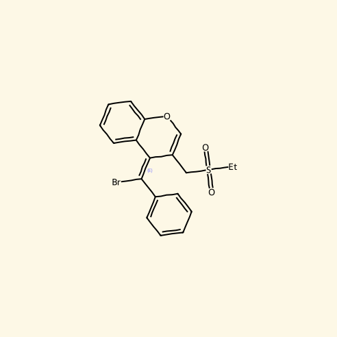 CCS(=O)(=O)CC1=COc2ccccc2/C1=C(\Br)c1ccccc1